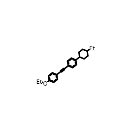 CCOc1ccc(C#Cc2ccc(C3CCC(CC)CC3)cc2)cc1